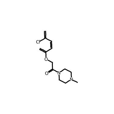 C=C(Cl)/C=C\C(=C)OCC(=O)N1CCN(C)CC1